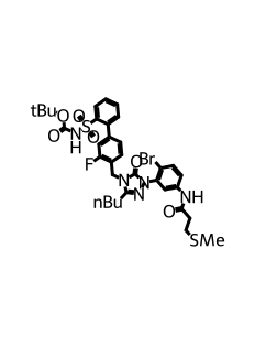 CCCCc1nn(-c2cc(NC(=O)CCSC)ccc2Br)c(=O)n1Cc1ccc(-c2ccccc2S(=O)(=O)NC(=O)OC(C)(C)C)cc1F